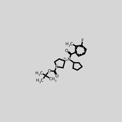 Cc1c(F)cccc1C(=O)N(C1CCCC1)[C@H]1CCN(C(=O)OC(C)(C)C)C1